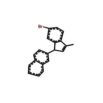 CC1=CC(c2ccc3ccccc3c2)c2cc(Br)ccc21